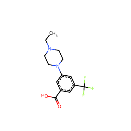 CCN1CCN(c2cc(C(=O)O)cc(C(F)(F)F)c2)CC1